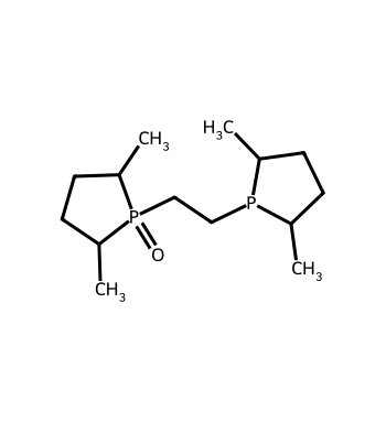 CC1CCC(C)P1CCP1(=O)C(C)CCC1C